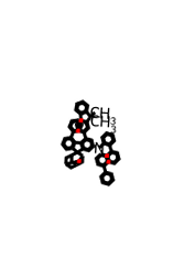 CC1(C)c2ccccc2-c2ccc(-c3cc(N(c4ccc(-c5ccccc5)cc4)c4ccccc4-c4ccccc4)cc4c3-c3c(-c5ccccc5)cccc3C43C4CC5CC(C4)CC3C5)cc21